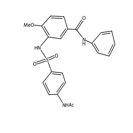 COc1ccc(C(=O)Nc2ccccc2)cc1NS(=O)(=O)c1ccc(NC(C)=O)cc1